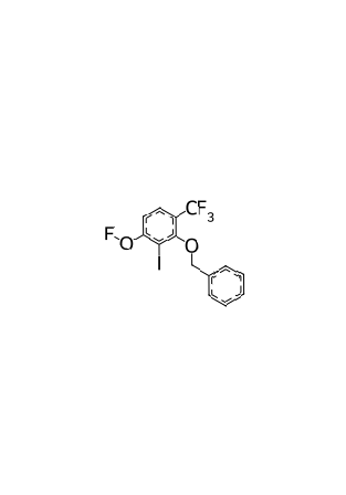 FOc1ccc(C(F)(F)F)c(OCc2ccccc2)c1I